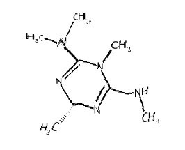 CNC1=N[C@H](C)N=C(N(C)C)N1C